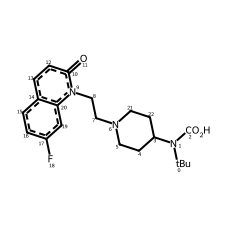 CC(C)(C)N(C(=O)O)C1CCN(CCn2c(=O)ccc3ccc(F)cc32)CC1